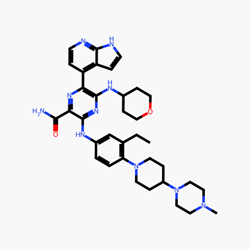 CCc1cc(Nc2nc(NC3CCOCC3)c(-c3ccnc4[nH]ccc34)nc2C(N)=O)ccc1N1CCC(N2CCN(C)CC2)CC1